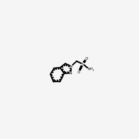 NS(=O)(=O)Cn1cc2ccccc2n1